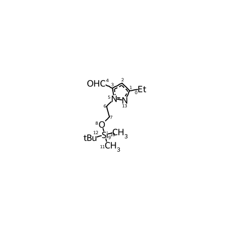 CCc1cc(C=O)n(CCO[Si](C)(C)C(C)(C)C)n1